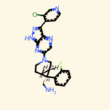 NC[C@]1(c2ccccc2F)[C@@H]2CCN(c3cnc4c(-c5ccncc5Cl)n[nH]c4n3)C[C@@H]21